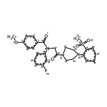 COc1ccc(C(=O)N(CC(=O)N2CCN(c3ccccc3S(C)(=O)=O)CC2)c2cccc(F)c2)cc1